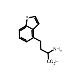 NC(CCc1cccc2sccc12)C(=O)O